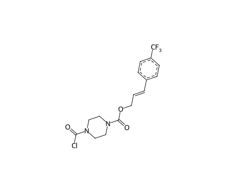 O=C(Cl)N1CCN(C(=O)OCC=Cc2ccc(C(F)(F)F)cc2)CC1